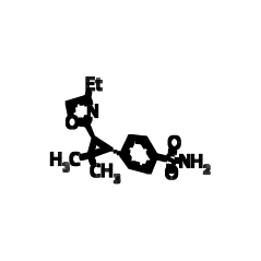 CCc1coc([C@H]2[C@H](c3ccc(S(N)(=O)=O)cc3)C2(C)C)n1